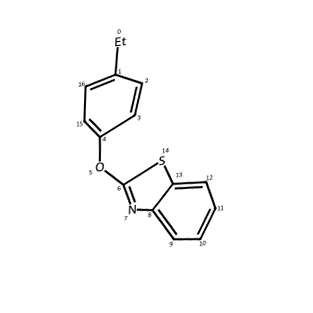 CCc1ccc(Oc2nc3ccccc3s2)cc1